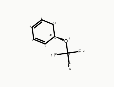 FC(F)(F)O[C@H]1C=CC=CC1